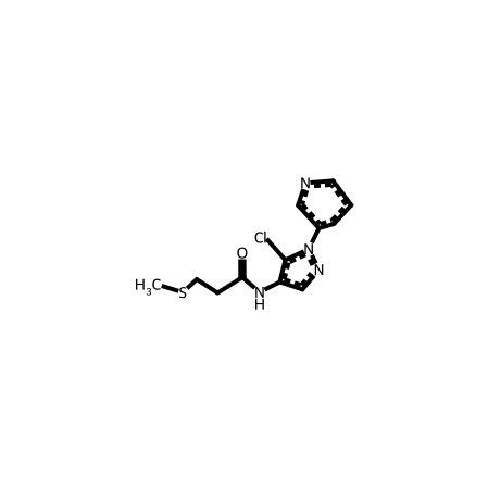 CSCCC(=O)Nc1cnn(-c2cccnc2)c1Cl